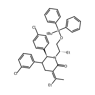 CC/C(C)=C1\CC(c2cccc(Cl)c2)[C@@H](c2ccc(Cl)cc2)N([C@@H](CC)CO[Si](c2ccccc2)(c2ccccc2)C(C)(C)C)C1=O